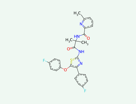 Cc1cccc(C(=O)NC(C)(C)C(=O)Nc2nc(-c3ccc(F)cc3)c(Oc3ccc(F)cc3)s2)n1